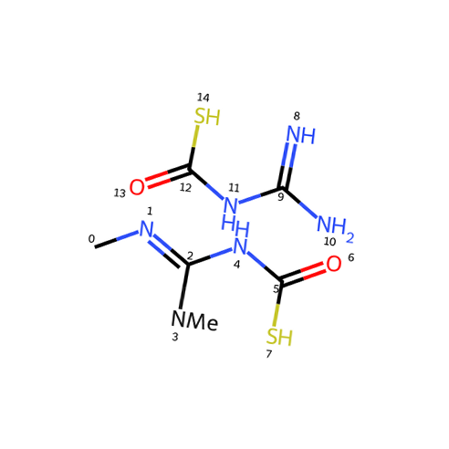 C/N=C(\NC)NC(=O)S.N=C(N)NC(=O)S